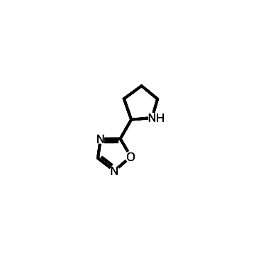 c1noc(C2CCCN2)n1